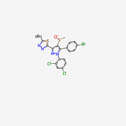 C[S+]([O-])c1c(-c2nnc(C(C)(C)C)s2)nn(-c2ccc(Cl)cc2Cl)c1-c1ccc(Br)cc1